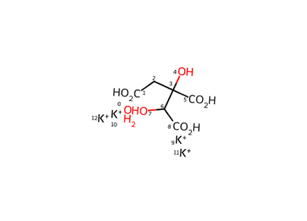 O.O=C(O)CC(O)(C(=O)O)C(O)C(=O)O.[K+].[K+].[K+].[K+]